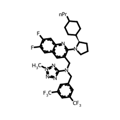 CCCC1CCC([C@H]2CCCN2c2nc3cc(F)c(F)cc3cc2CN(Cc2cc(C(F)(F)F)cc(C(F)(F)F)c2)c2nnn(C)n2)CC1